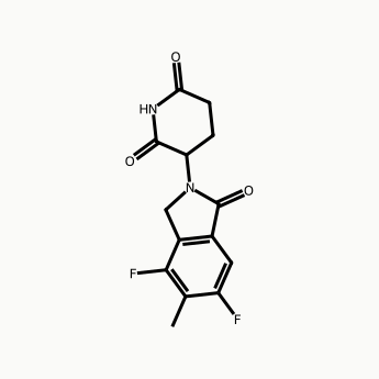 Cc1c(F)cc2c(c1F)CN(C1CCC(=O)NC1=O)C2=O